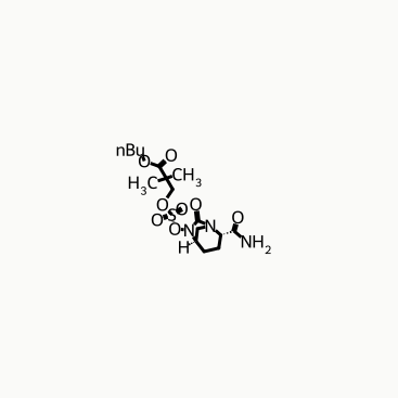 CCCCOC(=O)C(C)(C)COS(=O)(=O)ON1C(=O)N2C[C@H]1CC[C@H]2C(N)=O